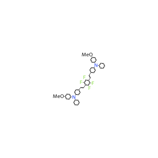 COc1ccc(N(c2ccccc2)c2ccc(C=Cc3c(F)c(F)c(C=Cc4ccc(N(c5ccccc5)c5ccc(OC)cc5)cc4)c(F)c3F)cc2)cc1